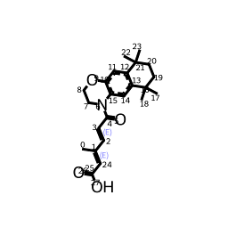 CC(/C=C/C(=O)N1CCOc2cc3c(cc21)C(C)(C)CCC3(C)C)=C\C(=O)O